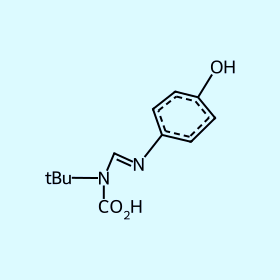 CC(C)(C)N(C=Nc1ccc(O)cc1)C(=O)O